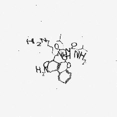 CC(C)C[C@H](NC(=O)[C@@H](N)C(C)C)C(=O)N[C@@H](CCCCN)C(=O)c1c(CN)c2ccccc2oc1=O